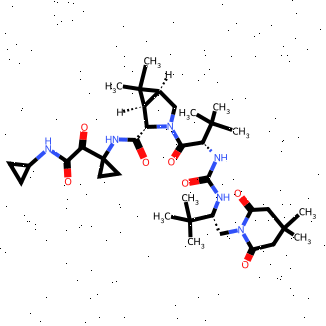 CC1(C)CC(=O)N(C[C@@H](NC(=O)N[C@H](C(=O)N2C[C@H]3[C@@H]([C@H]2C(=O)NC2(C(=O)C(=O)NC4CC4)CC2)C3(C)C)C(C)(C)C)C(C)(C)C)C(=O)C1